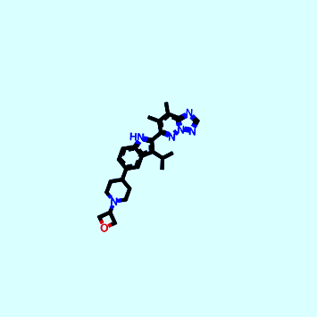 Cc1c(-c2[nH]c3ccc(C4CCN(C5COC5)CC4)cc3c2C(C)C)nn2ncnc2c1C